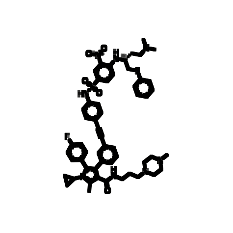 Cc1c(C(=O)NCCCN2CCN(C)CC2)c(-c2cccc(C#Cc3ccc(NS(=O)(=O)c4ccc(N[C@H](CCN(C)C)CSc5ccccc5)c([N+](=O)[O-])c4)cc3)c2)c(-c2ccc(F)cc2)n1C1CC1